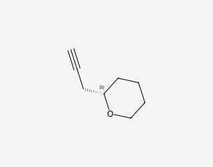 C#CC[C@@H]1CCCCO1